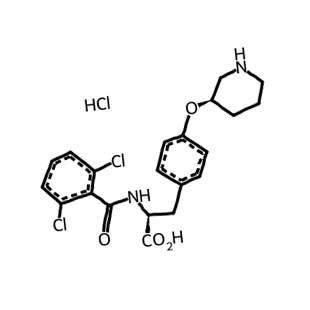 Cl.O=C(N[C@@H](Cc1ccc(O[C@@H]2CCCNC2)cc1)C(=O)O)c1c(Cl)cccc1Cl